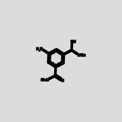 COC(=O)c1cc(N)cc(C(O)OC)c1